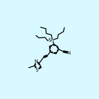 CCC[CH2][Sn]([CH2]CCC)([CH2]CCC)[c]1cc(C#N)cc(C#Cc2csc(C)n2)c1